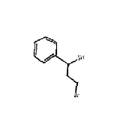 SC(CCBr)c1ccccc1